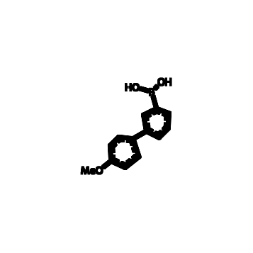 COc1ccc(-c2cccc(B(O)O)c2)cc1